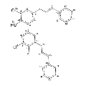 Cc1c(Cl)cc(-c2cc(C/C=C/c3ccccc3)cc(Cl)c2O)cc1C/C=C/c1ccccc1